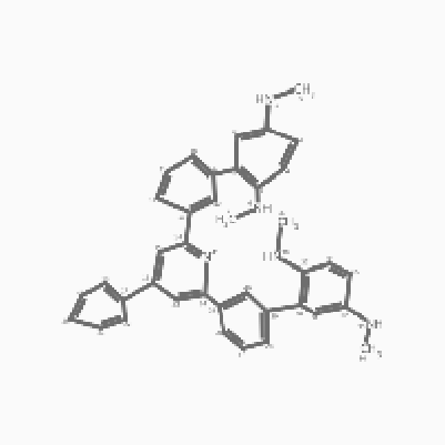 CNc1ccc(NC)c(-c2cccc(-c3cc(-c4ccccc4)cc(-c4cccc(-c5cc(NC)ccc5NC)c4)n3)c2)c1